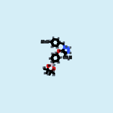 COc1ccc(Cn2nnc(C(=O)O)c2Oc2ccc(B3OC(C)(C)C(C)(C)O3)cc2)cc1